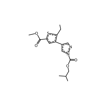 CCc1sc(C(=O)OC)cc1-c1cnn(C(=O)OCC(C)C)c1